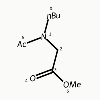 CCCCN(CC(=O)OC)C(C)=O